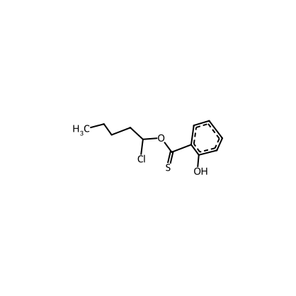 CCCCC(Cl)OC(=S)c1ccccc1O